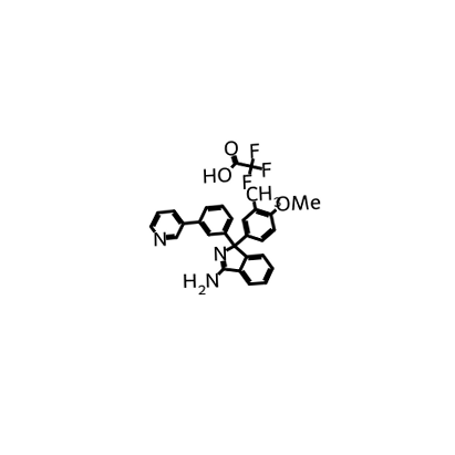 COc1ccc(C2(c3cccc(-c4cccnc4)c3)N=C(N)c3ccccc32)cc1C.O=C(O)C(F)(F)F